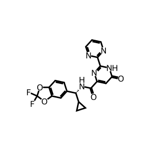 O=C(N[C@@H](c1ccc2c(c1)OC(F)(F)O2)C1CC1)c1cc(=O)[nH]c(-c2ncccn2)n1